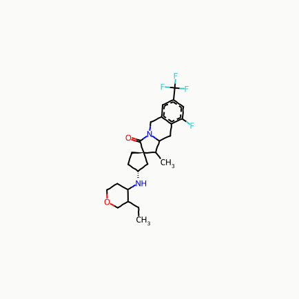 CCC1COCCC1N[C@@H]1CC[C@@]2(C1)C(=O)N1Cc3cc(C(F)(F)F)cc(F)c3CC1C2C